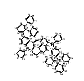 c1ccc(-c2ccccc2-c2ccccc2-c2ccc(N(c3ccccc3)c3ccc4ccc5c(N(c6ccccc6)c6ccc(C7(c8ccccc8)c8ccccc8-c8ccccc87)cc6)ccc6ccc3c4c65)cc2)cc1